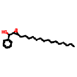 CCCCCCCCCCCCCCCC1OC1C(O)c1ccccc1